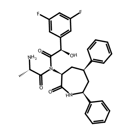 C[C@H](N)C(=O)N(C(=O)[C@H](O)c1cc(F)cc(F)c1)[C@H]1C[C@@H](c2ccccc2)C[C@@H](c2ccccc2)NC1=O